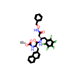 CC(C)(C)OC(=O)N[C@H](Cc1ccc2ccccc2c1)C(=O)N[C@@H](CC(=O)NOCc1ccccc1)Cc1c(F)c(F)c(F)c(F)c1F